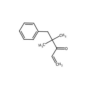 C=CC(=O)C(C)(C)Cc1ccccc1